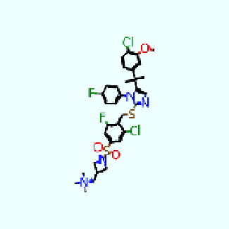 COc1cc(C(C)(C)c2cnc(SCc3c(F)cc(S(=O)(=O)N4CC(C[N+](C)(C)C)C4)cc3Cl)n2-c2ccc(F)cc2)ccc1Cl